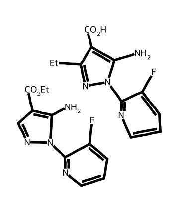 CCOC(=O)c1cnn(-c2ncccc2F)c1N.CCc1nn(-c2ncccc2F)c(N)c1C(=O)O